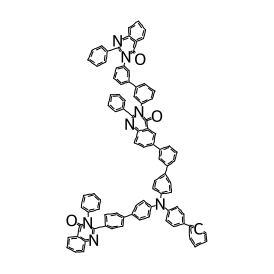 O=c1c2ccccc2nc(-c2ccc(-c3ccc(N(c4ccc(-c5ccccc5)cc4)c4ccc(-c5cccc(-c6ccc7nc(-c8ccccc8)n(-c8cccc(-c9cccc(-n%10c(-c%11ccccc%11)nc%11ccccc%11c%10=O)c9)c8)c(=O)c7c6)c5)cc4)cc3)cc2)n1-c1ccccc1